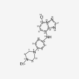 CCN1CCN(c2ccc(Nc3ccc(Cl)n4ncnc34)cc2)CC1